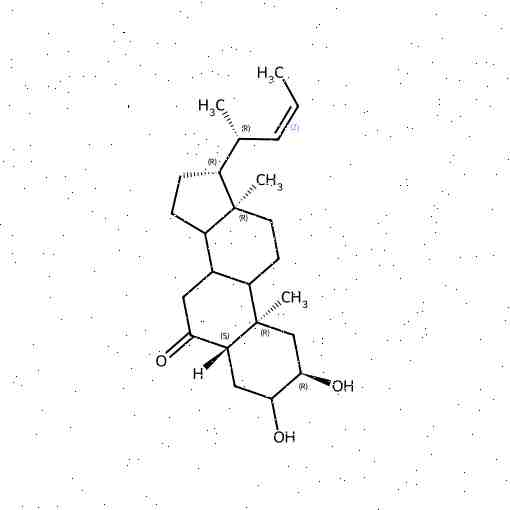 C/C=C\[C@@H](C)[C@H]1CCC2C3CC(=O)[C@H]4CC(O)[C@H](O)C[C@]4(C)C3CC[C@@]21C